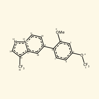 COc1cc(OC(F)(F)F)ccc1-c1ccn2ncc(C(F)(F)F)c2c1